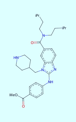 COC(=O)c1ccc(Nc2nc3ccc(C(=O)N(CCC(C)C)CCC(C)C)cc3n2CC2CCNCC2)cc1